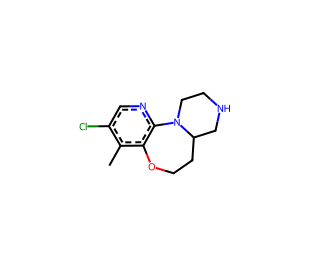 Cc1c(Cl)cnc2c1OCCC1CNCCN21